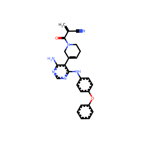 C=C(C#N)C(=O)N1CCC=C(c2c(N)ncnc2Nc2ccc(Oc3ccccc3)cc2)C1